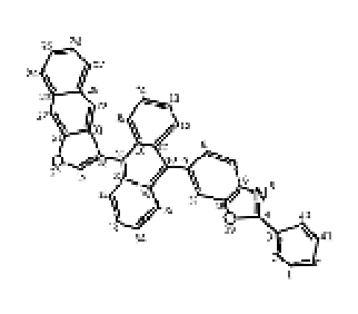 c1ccc(-c2nc3ccc(-c4c5ccccc5c(-c5coc6cc7ccccc7cc56)c5ccccc45)cc3o2)cc1